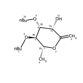 C=C1O[C@H](C)[C@@H](OCCCC)[C@H](OCCCC)[C@@H]1O